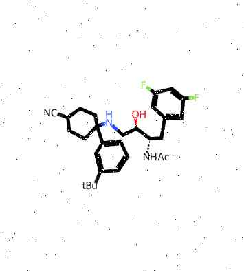 CC(=O)N[C@@H](Cc1cc(F)cc(F)c1)[C@H](O)CNC1(c2cccc(C(C)(C)C)c2)CCC(C#N)CC1